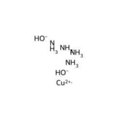 N.N.N.N.[Cu+2].[OH-].[OH-]